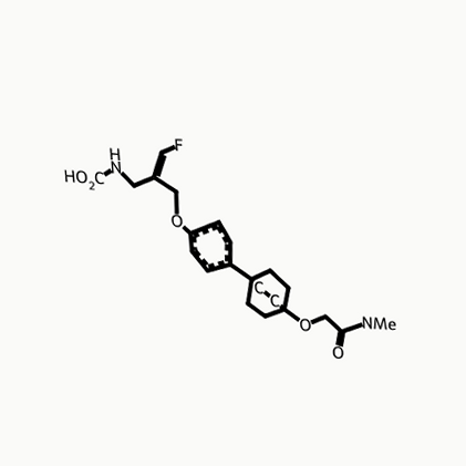 CNC(=O)COC12CCC(c3ccc(OC/C(=C\F)CNC(=O)O)cc3)(CC1)CC2